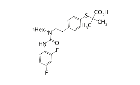 CCCCCCN(CCc1ccc(SC(C)(C)C(=O)O)cc1)C(=O)Nc1ccc(F)cc1F